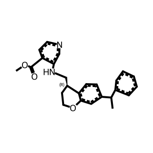 COC(=O)c1ccncc1NC[C@@H]1CCOc2cc(C(C)c3ccccc3)ccc21